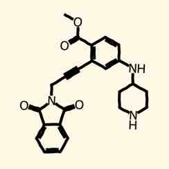 COC(=O)c1ccc(NC2CCNCC2)cc1C#CCN1C(=O)c2ccccc2C1=O